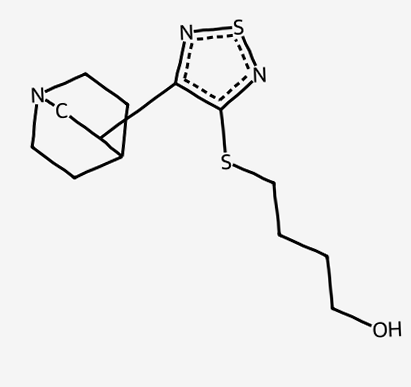 OCCCCSc1nsnc1C1CN2CCC1CC2